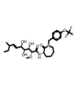 CCC(C)/C=C/[C@@H](O)[C@H](O)[C@@H](O)[C@@H](OC)C(=O)N[C@H]1CCCCN(Cc2ccc(OC(F)(F)F)cc2)C1=O